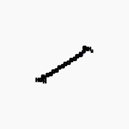 NC(=O)c1ccc(/C=N/OCCOCCOCCOCCOCCOCCOCCOCCOCCOCCOCCOCCNC(=O)CCO)cc1